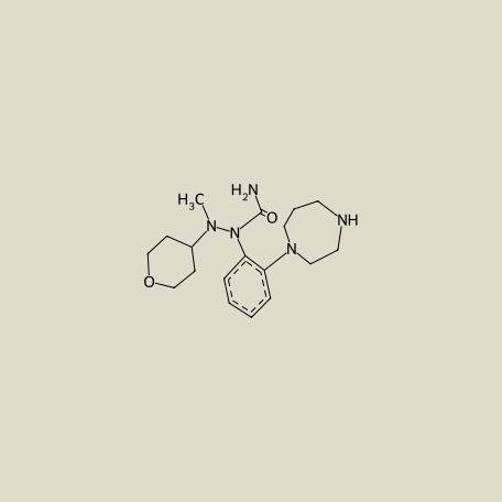 CN(C1CCOCC1)N(C(N)=O)c1ccccc1N1CCCNCC1